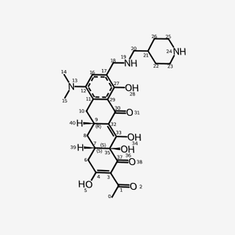 CC(=O)C1=C(O)C[C@@H]2C[C@@H]3Cc4c(N(C)C)cc(CNCC5CCNCC5)c(O)c4C(=O)C3=C(O)[C@]2(O)C1=O